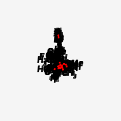 COC(=O)N[C@H](C(=O)N[C@@H](Cc1ccc(C#Cc2cnc(N3CC4CCC(C3)N4C3COC3)nc2)cc1)[C@H](CN(Cc1c(F)cc(-c2ccn(C(F)F)n2)cc1F)NC(=O)[C@@H](NC(=O)OC)C(C)(C)C(F)(F)F)OC(=O)CC(C)(C)c1c(CC(=O)NCCOP(=O)(O)O)cc(C)cc1OP(=O)(O)O)C(C)(C)C(F)(F)F